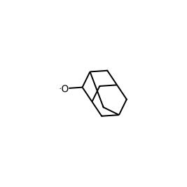 [O]C1C2CC3CC(C2)CC1C3